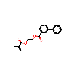 C=C(C)C(=O)OCCOC(=O)c1cccc(-c2ccccc2)c1